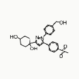 CS(=O)(=O)c1ccc(-c2cc(C3(O)CCC(O)CC3)nn2-c2ccc(CO)cc2)cc1